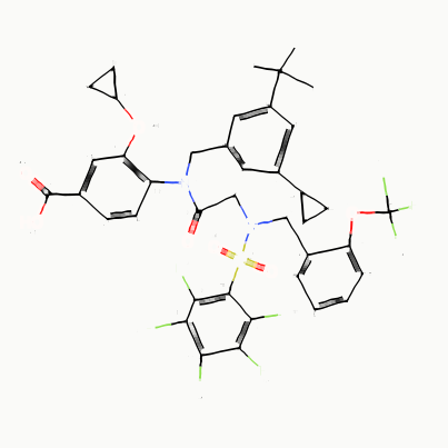 CC(C)(C)c1cc(CN(C(=O)CN(Cc2ccccc2OC(F)(F)F)S(=O)(=O)c2c(F)c(F)c(F)c(F)c2F)c2ccc(C(=O)O)cc2OC2CC2)cc(C2CC2)c1